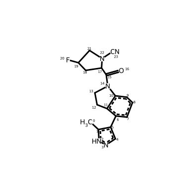 Cc1[nH]ncc1-c1cccc2c1CCN2C(=O)C1CC(F)CN1C#N